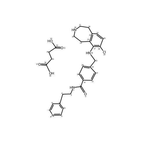 O=C(NCCc1ccncc1)c1ccc(CNc2c(Cl)ccc3c2CCNCC3)cc1.O=C(O)CCC(=O)O